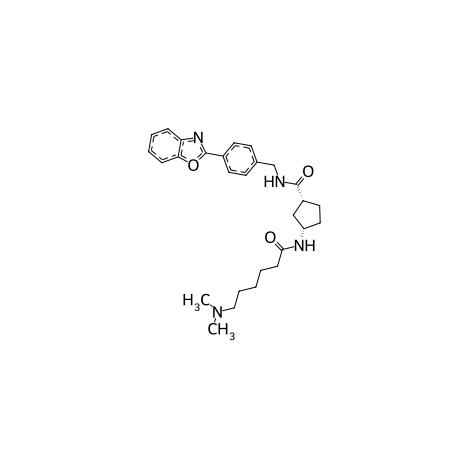 CN(C)CCCCCC(=O)N[C@H]1CC[C@@H](C(=O)NCc2ccc(-c3nc4ccccc4o3)cc2)C1